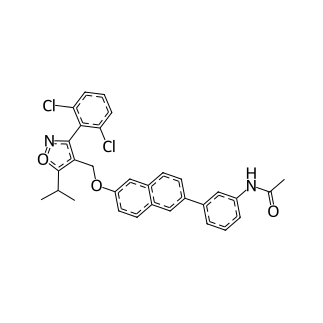 CC(=O)Nc1cccc(-c2ccc3cc(OCc4c(-c5c(Cl)cccc5Cl)noc4C(C)C)ccc3c2)c1